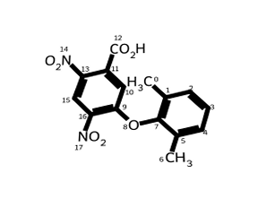 Cc1cccc(C)c1Oc1cc(C(=O)O)c([N+](=O)[O-])cc1[N+](=O)[O-]